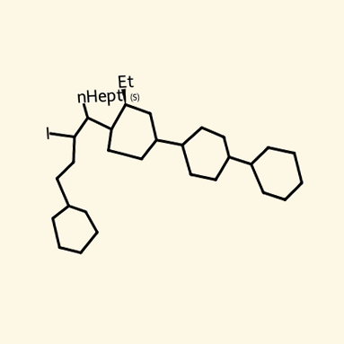 CCCCCCCC(C(I)CCC1CCCCC1)C1CCC(C2CCC(C3CCCCC3)CC2)C[C@@H]1CC